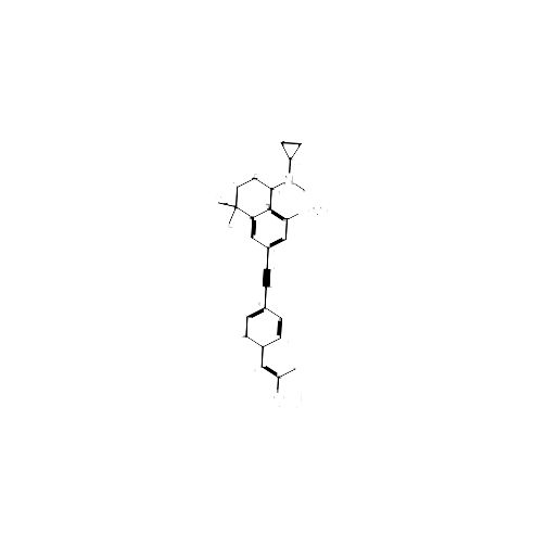 COc1cc(C#CC2=CCC(/C=C(\C)C(=O)O)C=C2)cc2c1C(N(C)C1CC1)CCC2(C)C